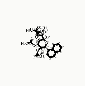 COC(OC(C)=O)[C@@]1(Br)O[C@@H](c2cccc3ccccc23)[C@](OC)(OC(C)=O)[C@@H](OC(C)=O)[C@H]1OC(C)=O